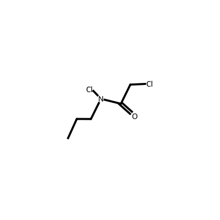 CCCN(Cl)C(=O)CCl